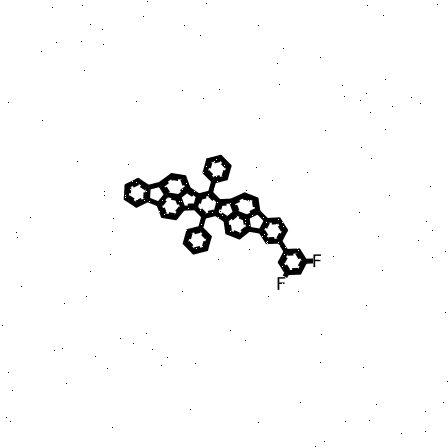 Fc1cc(F)cc(-c2ccc3c(c2)-c2ccc4c5c(-c6ccccc6)c6c7ccc8c9c(ccc(c6c(-c6ccccc6)c5c5ccc-3c2c54)c97)-c2ccccc2-8)c1